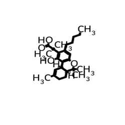 CCCCCc1cc2c(c(O)c1C(C)(C)C(=O)O)[C@@H]1C=C(C)CC[C@H]1C(C)(C)O2